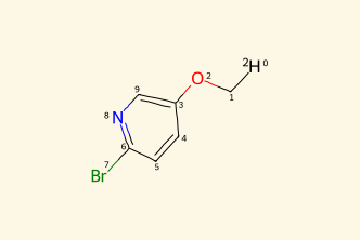 [2H]COc1ccc(Br)nc1